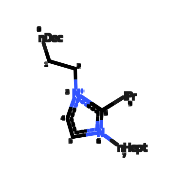 CCCCCCCCCCCC[n+]1ccn(CCCCCCC)c1C(C)C